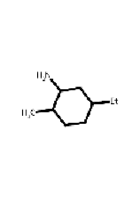 CCC1CCC(C)C(N)C1